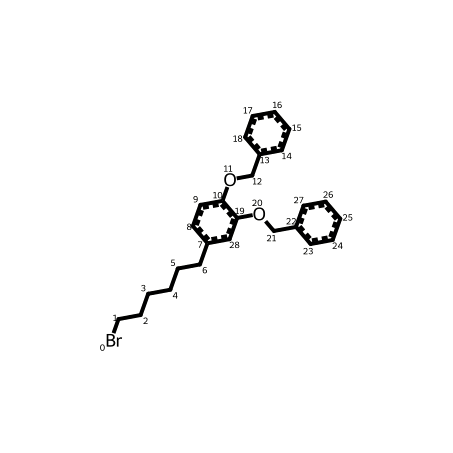 BrCCCCCCc1ccc(OCc2ccccc2)c(OCc2ccccc2)c1